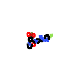 CS(=O)(=O)c1ccc(N2CCCCC2)c(C(=O)N2Cc3cn(-c4ccc(F)cn4)nc3C2)c1